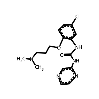 CN(C)CCCOc1ccc(Cl)cc1NC(=O)Nc1cnccn1